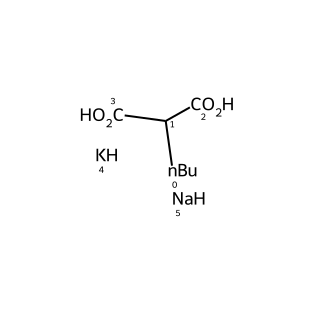 CCCCC(C(=O)O)C(=O)O.[KH].[NaH]